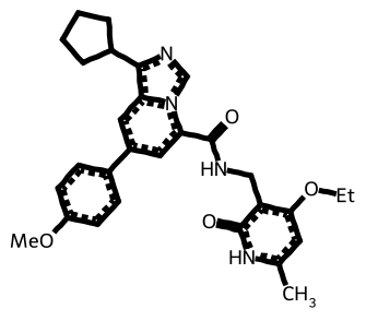 CCOc1cc(C)[nH]c(=O)c1CNC(=O)c1cc(-c2ccc(OC)cc2)cc2c(C3CCCC3)ncn12